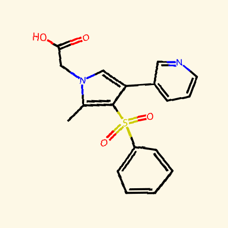 Cc1c(S(=O)(=O)c2ccccc2)c(-c2cccnc2)cn1CC(=O)O